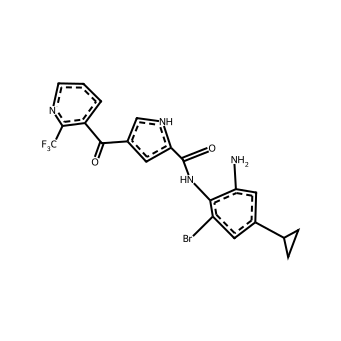 Nc1cc(C2CC2)cc(Br)c1NC(=O)c1cc(C(=O)c2cccnc2C(F)(F)F)c[nH]1